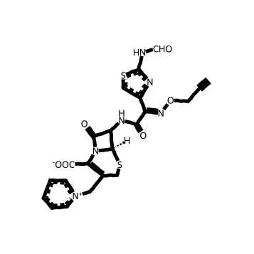 C#CCO/N=C(/C(=O)NC1C(=O)N2C(C(=O)[O-])=C(C[n+]3ccccc3)CS[C@H]12)c1csc(NC=O)n1